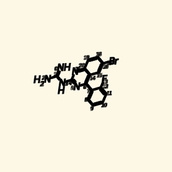 N=C(N)Nc1nc(-c2ccccc2F)c2cc(Br)ccc2n1